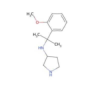 COc1ccccc1C(C)(C)NC1CCNC1